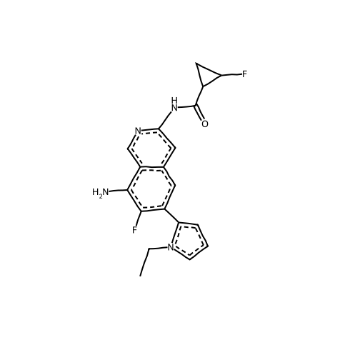 CCn1cccc1-c1cc2cc(NC(=O)C3CC3F)ncc2c(N)c1F